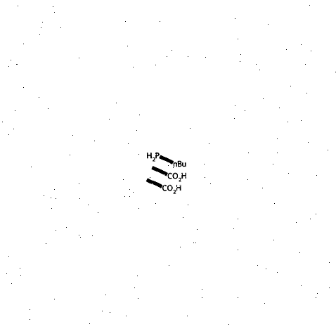 CC(=O)O.CC(=O)O.CCCCP